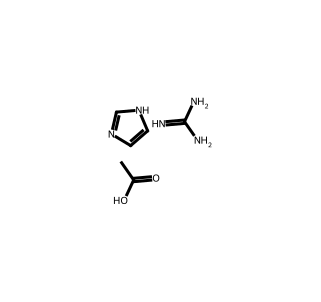 CC(=O)O.N=C(N)N.c1c[nH]cn1